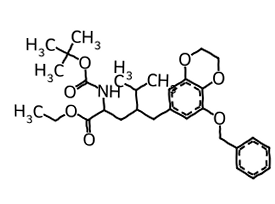 CCOC(=O)C(CC(Cc1cc2c(c(OCc3ccccc3)c1)OCCO2)C(C)C)NC(=O)OC(C)(C)C